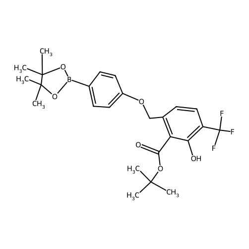 CC(C)(C)OC(=O)c1c(COc2ccc(B3OC(C)(C)C(C)(C)O3)cc2)ccc(C(F)(F)F)c1O